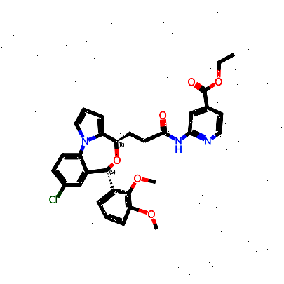 CCOC(=O)c1ccnc(NC(=O)CC[C@H]2O[C@H](c3cccc(OC)c3OC)c3cc(Cl)ccc3-n3cccc32)c1